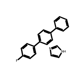 Fc1ccc(-c2ccc(-c3ccccc3)cc2)cc1.c1c[nH]cn1